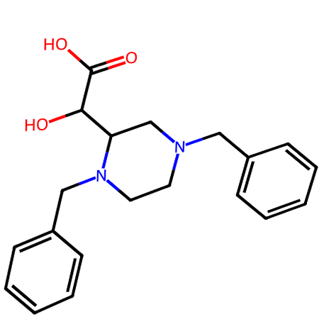 O=C(O)C(O)C1CN(Cc2ccccc2)CCN1Cc1ccccc1